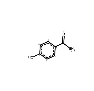 BC(=O)c1ccc(O)cc1